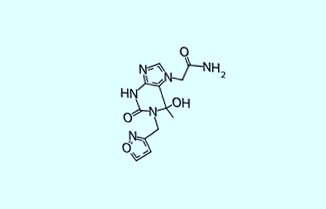 CC1(O)c2c(ncn2CC(N)=O)NC(=O)N1Cc1ccon1